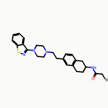 CC(C)CC(=O)NC1CCc2cc(CCN3CCN(c4nsc5ccccc45)CC3)ccc2C1